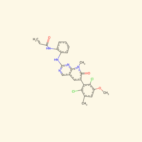 C=CC(=O)Nc1ccccc1Nc1ncc2cc(-c3c(Cl)c(C)cc(OC)c3Cl)c(=O)n(C)c2n1